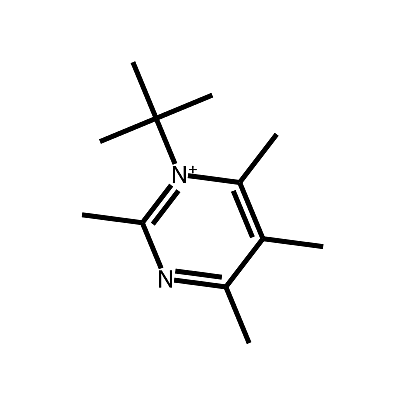 Cc1nc(C)[n+](C(C)(C)C)c(C)c1C